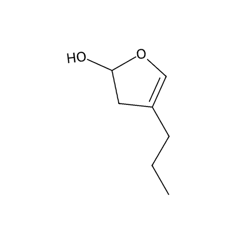 CCCC1=COC(O)C1